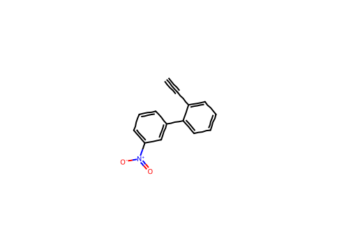 C#Cc1ccccc1-c1cccc([N+](=O)[O-])c1